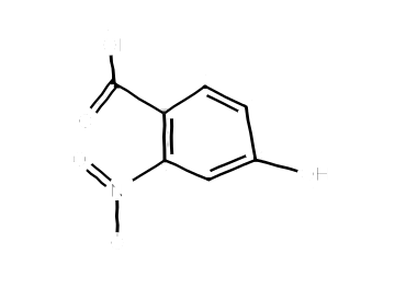 O=C(O)c1ccc(O)cc1[N+](=O)[O-]